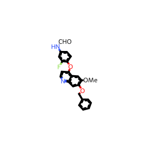 COc1cc2c(Oc3ccc(NC=O)cc3F)ccnc2cc1OCc1ccccc1